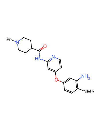 CNc1ccc(Oc2ccnc(NC(=O)C3CCN(C(C)C)CC3)c2)cc1N